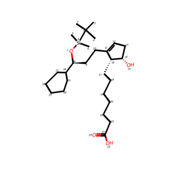 CC(C)(C)[Si](C)(C)O[C@@H](CCC1=CC[C@H](O)[C@@H]1CCCCCCC(=O)O)C1CCCCC1